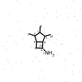 CC1C(C)C2C[C@H](N)C2C1C